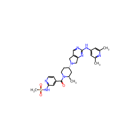 Cc1cc(Nc2ncc3c(n2)CN([C@H]2CCN(C(=O)c4ccnc(NS(C)(=O)=O)c4)[C@H](C)C2)C3)cc(C)n1